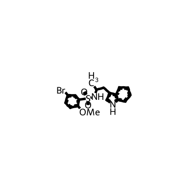 COc1ccc(Br)cc1S(=O)(=O)NC(C)Cc1c[nH]c2ccccc12